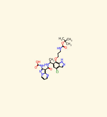 CC(NC(=O)c1c(NC(=O)O)nn2cccnc12)c1cc(Cl)c2cn[nH]c2c1OCCCNC(=O)OC(C)(C)C